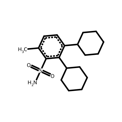 Cc1ccc(C2CCCCC2)c(C2CCCCC2)c1S(N)(=O)=O